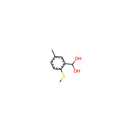 CSc1ccc(C)cc1C(O)O